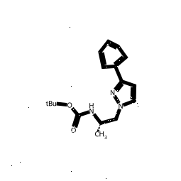 C[C@@H](Cn1ccc(-c2ccccc2)n1)NC(=O)OC(C)(C)C